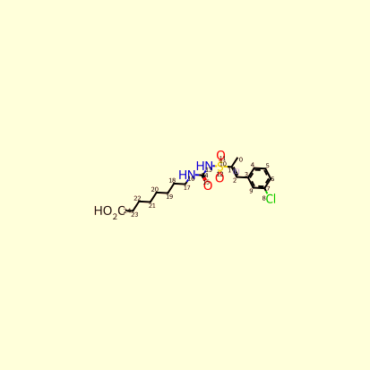 C/C(=C\c1cccc(Cl)c1)S(=O)(=O)NC(=O)NCCCCCCCC(=O)O